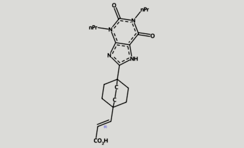 CCCn1c(=O)c2[nH]c(C34CCC(/C=C/C(=O)O)(CC3)CC4)nc2n(CCC)c1=O